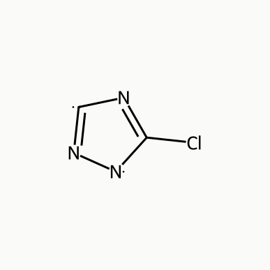 ClC1=N[C]=N[N]1